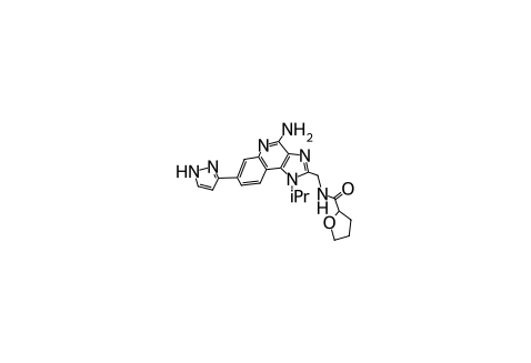 CC(C)n1c(CNC(=O)C2CCCO2)nc2c(N)nc3cc(-c4cc[nH]n4)ccc3c21